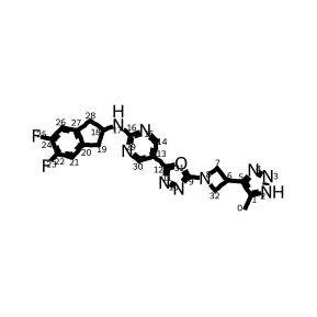 Cc1[nH]nnc1C1CN(c2nnc(-c3cnc(NC4Cc5cc(F)c(F)cc5C4)nc3)o2)C1